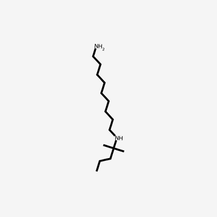 CCCC(C)(C)NCCCCCCCCCN